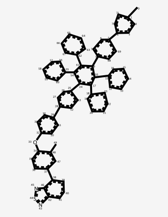 Cc1ccc(-c2ccc(-c3c(-c4ccccc4)c(-c4ccccc4)c(-c4ccc(-c5ccc(Oc6ccc(-c7cccc8nsnc78)cc6C)cc5)cc4)c(-c4ccccc4)c3-c3ccccc3)cc2)cc1